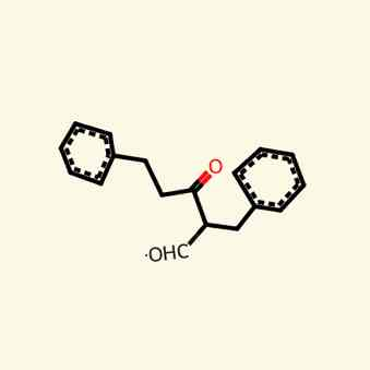 O=[C]C(Cc1ccccc1)C(=O)CCc1ccccc1